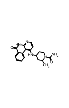 CC1CC(Nc2ccnc3[nH]c(=O)c4ccccc4c23)CCN1C(N)=O